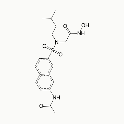 CC(=O)Nc1ccc2ccc(S(=O)(=O)N(CCC(C)C)CC(=O)NO)cc2c1